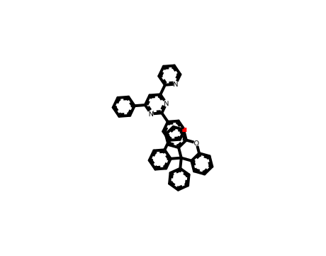 c1ccc(-c2cc(-c3ccccn3)nc(-c3cccc(-c4ccccc4C4(c5ccccc5)c5ccccc5Oc5ccccc54)c3)n2)cc1